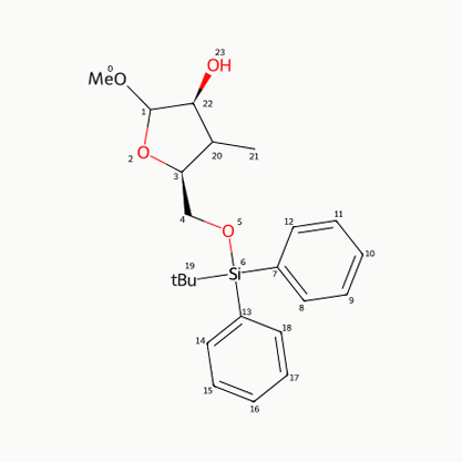 COC1O[C@H](CO[Si](c2ccccc2)(c2ccccc2)C(C)(C)C)C(C)[C@@H]1O